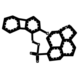 O=S(=O)(O[I+]c1c(Cl)ccc2c1-c1ccccc1-2)c1ccc2ccc3cccc4ccc1c2c34